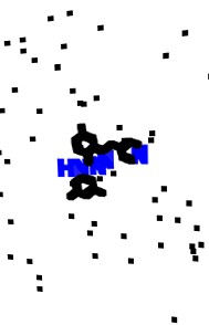 Cc1cc(C)cc(Nc2nnc(Cc3ccncc3)c3cc(C)ccc23)c1